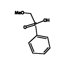 COCP(=O)(O)c1ccccc1